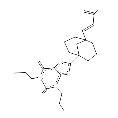 CCCn1c(=O)c2[nH]c(C34CCCC(C=CC(=O)O)(CCC3)C4)nc2n(CCC)c1=O